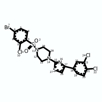 O=S(=O)(c1ccc(Br)cc1Cl)N1CCN(c2nc(-c3ccc(Cl)c(Cl)c3)cs2)CC1